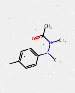 CC(=O)N(C)N(C)c1ccc(I)cc1